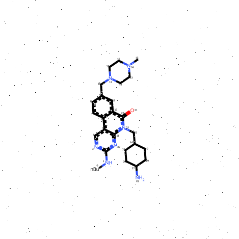 CCCCNc1ncc2c3ccc(CN4CCN(C)CC4)cc3c(=O)n(CC3CCC(N)CC3)c2n1